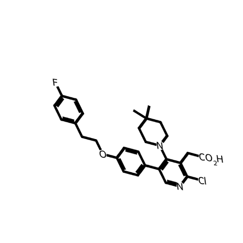 CC1(C)CCN(c2c(-c3ccc(OCCc4ccc(F)cc4)cc3)cnc(Cl)c2CC(=O)O)CC1